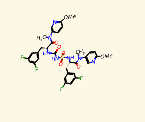 COc1ccc(N(C)C(=O)[C@H](Cc2cc(F)cc(F)c2)NC(=O)NS(=O)(=O)N[C@@H](Cc2cc(F)cc(F)c2)C(=O)N(C)c2ccc(OC)nc2)cn1